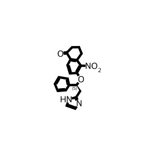 O=C1CCCc2c1ccc(O[C@@H](Cc1ncc[nH]1)c1ccccc1)c2[N+](=O)[O-]